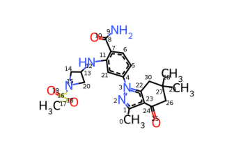 Cc1nn(-c2ccc(C(N)=O)c(NC3CN(S(C)(=O)=O)C3)c2)c2c1C(=O)CC(C)(C)C2